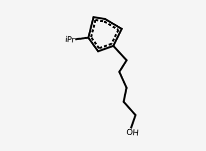 CC(C)c1cccc(CCCCCO)c1